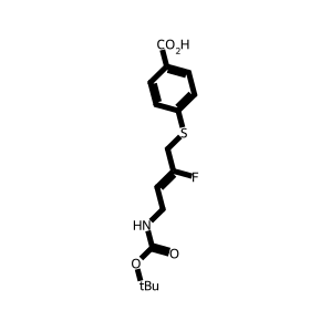 CC(C)(C)OC(=O)NC/C=C(\F)CSc1ccc(C(=O)O)cc1